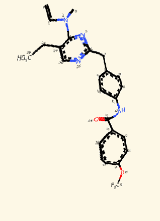 C=CN(C)c1nc(Cc2ccc(NC(=O)c3ccc(OC(F)(F)F)cc3)cc2)ncc1CC(=O)O